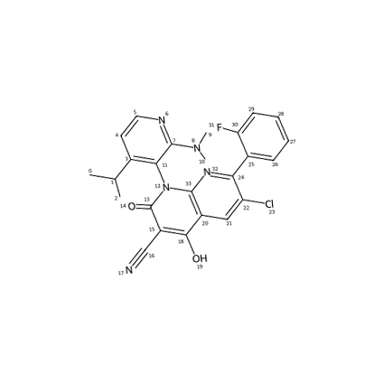 CC(C)c1ccnc(N(C)C)c1-n1c(=O)c(C#N)c(O)c2cc(Cl)c(-c3ccccc3F)nc21